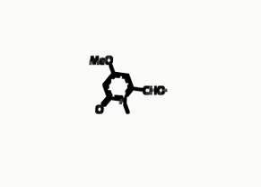 COc1cc([C]=O)n(C)c(=O)c1